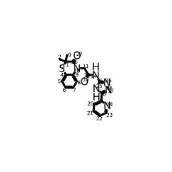 CC1(C)Sc2ccccc2N(CC(=O)Nc2nnc(-c3ccccn3)[nH]2)C1=O